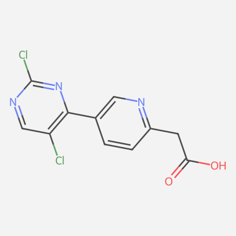 O=C(O)Cc1ccc(-c2nc(Cl)ncc2Cl)cn1